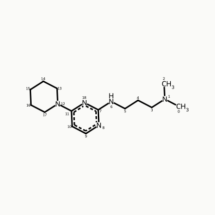 CN(C)CCCNc1nccc(N2CCCCC2)n1